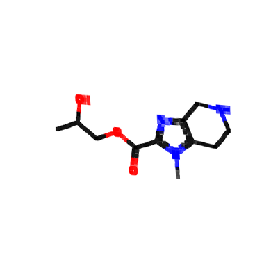 CC(O)COC(=O)c1nc2c(n1C)CCNC2